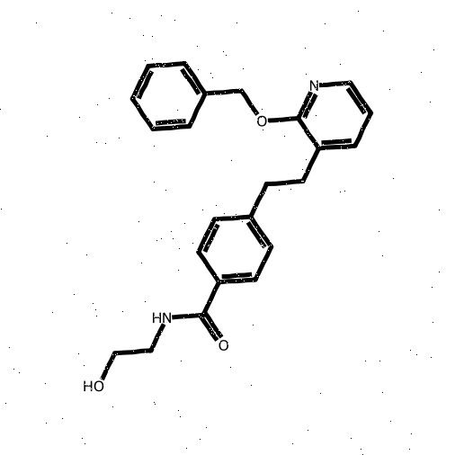 O=C(NCCO)c1ccc(CCc2cccnc2OCc2ccccc2)cc1